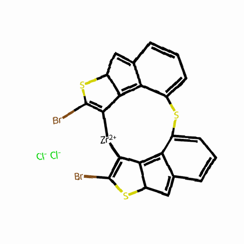 BrC1=[C]2[Zr+2][C]3=C(Br)SC4C=c5cccc(c5=C34)Sc3cccc4c3=C2C(C=4)S1.[Cl-].[Cl-]